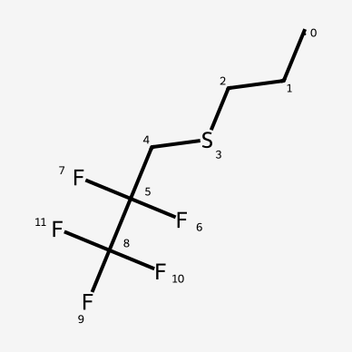 [CH2]CCSCC(F)(F)C(F)(F)F